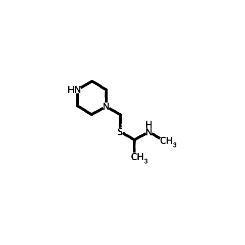 CNC(C)SCN1CCNCC1